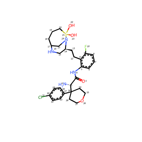 N[C@H](C(=O)Nc1cccc(F)c1CC[C@H]1CNC2CCCS(O)(O)N1C2)C1(c2ccc(Cl)cc2)CCOCC1